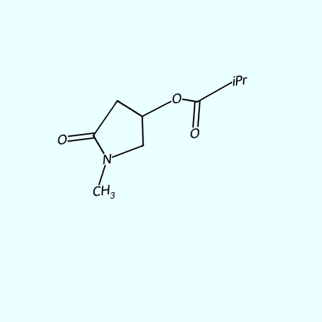 CC(C)C(=O)OC1CC(=O)N(C)C1